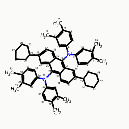 Cc1ccc(N(c2ccc(C)c(C)c2)c2c3ccc(C4CCCCC4)cc3c(N(c3ccc(C)c(C)c3)c3ccc(C)c(C)c3)c3ccc(C4CCCCC4)cc23)cc1C